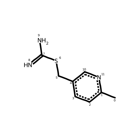 Cc1ccc(CSC(=N)N)cn1